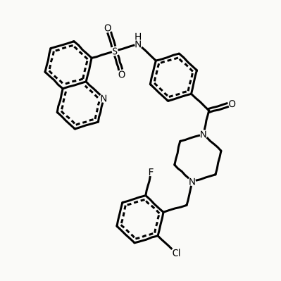 O=C(c1ccc(NS(=O)(=O)c2cccc3cccnc23)cc1)N1CCN(Cc2c(F)cccc2Cl)CC1